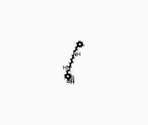 Oc1ccc(CCNCCCCCCNCCCc2ccccc2)cc1O